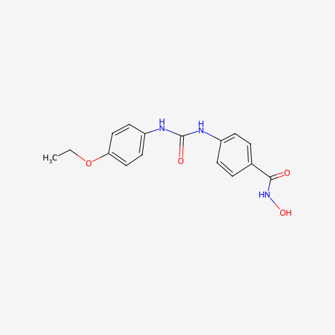 CCOc1ccc(NC(=O)Nc2ccc(C(=O)NO)cc2)cc1